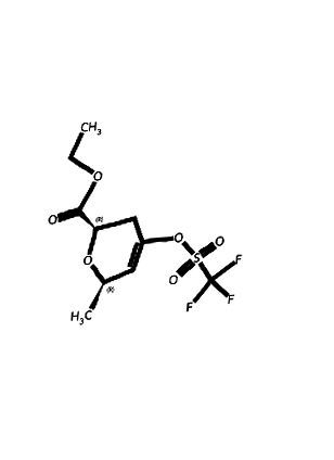 CCOC(=O)[C@H]1CC(OS(=O)(=O)C(F)(F)F)=C[C@@H](C)O1